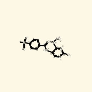 CS(=O)(=O)c1ccc(C(=O)Nc2cnc(Cl)nc2NN)cc1